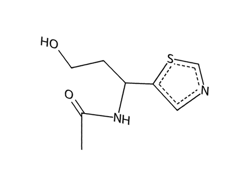 CC(=O)NC(CCO)c1cncs1